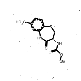 CC(C)(C)OC(=O)N[C@H]1CSc2ccc(C(=O)O)nc2NC1=O